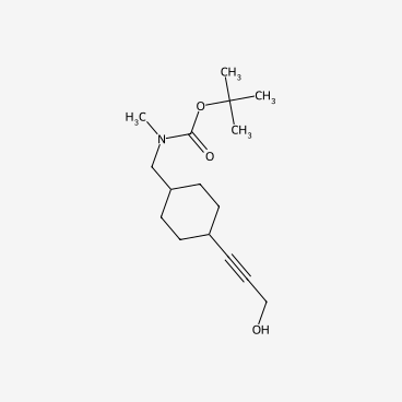 CN(CC1CCC(C#CCO)CC1)C(=O)OC(C)(C)C